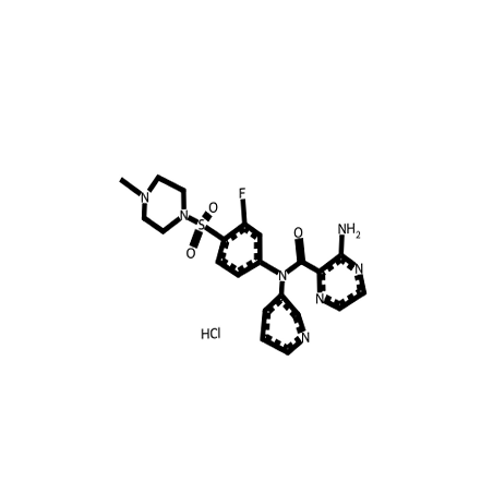 CN1CCN(S(=O)(=O)c2ccc(N(C(=O)c3nccnc3N)c3cccnc3)cc2F)CC1.Cl